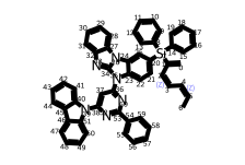 C=C(/C=C\C=C/C)[Si](c1ccccc1)(c1ccccc1)c1ccc2c(c1)n1c3ccccc3nc1n2-c1cc(-n2c3ccccc3c3ccccc32)nc(-c2ccccc2)n1